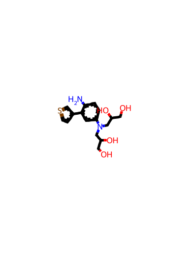 Nc1ccc(N(CC(O)CO)CC(O)CO)cc1-c1ccsc1